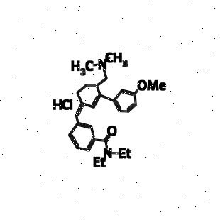 CCN(CC)C(=O)c1cccc(C=C2C=C(c3cccc(OC)c3)C(CN(C)C)CC2)c1.Cl